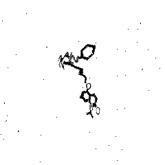 CC(C)n1c(=O)ccc2c(OCCCCc3nnnn3C3CCCCC3)cccc21